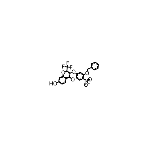 O=c1c(Oc2ccc([N+](=O)[O-])c(OCc3ccccc3)c2)c(C(F)(F)F)oc2cc(O)ccc12